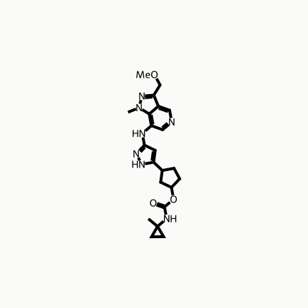 COCc1nn(C)c2c(Nc3cc(C4CCC(OC(=O)NC5(C)CC5)C4)[nH]n3)cncc12